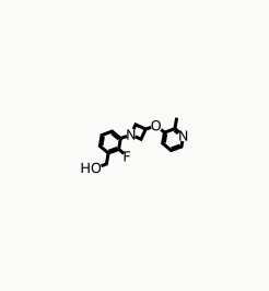 Cc1ncccc1OC1CN(c2cccc(CO)c2F)C1